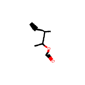 C#CC(C)C(C)OC=O